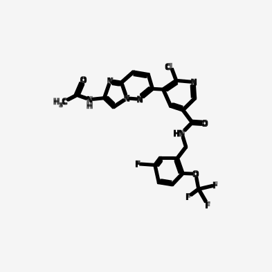 CC(=O)Nc1cn2nc(-c3cc(C(=O)NCc4cc(F)ccc4OC(F)(F)F)cnc3Cl)ccc2n1